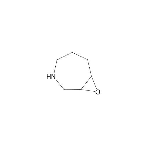 C1CNCC2OC2C1